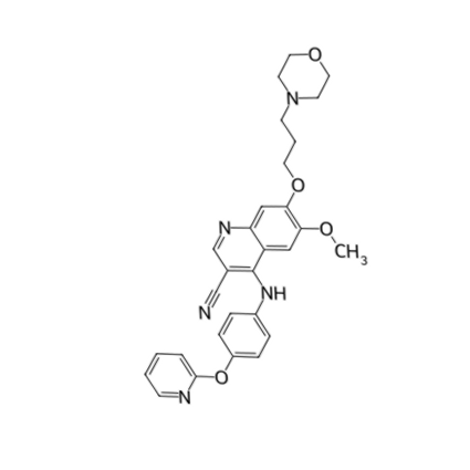 COc1cc2c(Nc3ccc(Oc4ccccn4)cc3)c(C#N)cnc2cc1OCCCN1CCOCC1